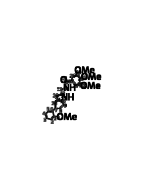 COc1ccccc1-c1ccc2[nH]c(CNC(=O)c3cc(OC)c(OC)c(OC)c3)cc2c1